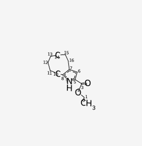 CCOC(=O)c1cc2c([nH]1)CCCCCCC2